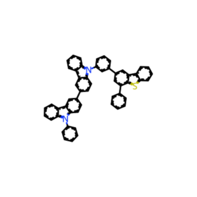 c1ccc(-c2cc(-c3cccc(-n4c5ccccc5c5cc(-c6ccc7c(c6)c6ccccc6n7-c6ccccc6)ccc54)c3)cc3c2sc2ccccc23)cc1